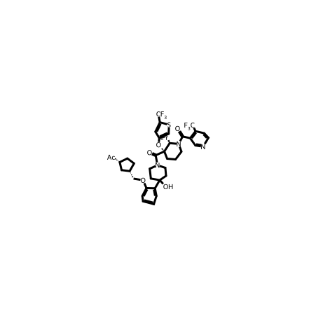 CCC[C@H]1N(C(=O)c2cnccc2C(F)(F)F)CCC[C@@]1(Oc1csc(C(F)(F)F)c1)C(=O)N1CCC(O)(c2ccccc2OC[C@H]2CC[C@@H](C(C)=O)C2)CC1